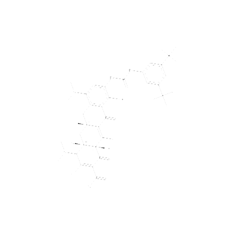 CN(C)c1cc(NC(=S)Nc2cc(C(C)(F)F)cc(C(C)(F)F)c2)c(O)c2c1C[C@H]1C[C@@]3(N)C(N(C)C)C(O)=C(C(N)=O)C(=O)[C@@]3(O)C(O)=C1C2=O